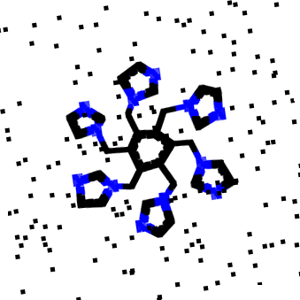 c1cn(Cc2c(Cn3ccnc3)c(Cn3ccnc3)c(Cn3ccnc3)c(Cn3ccnc3)c2Cn2ccnc2)cn1